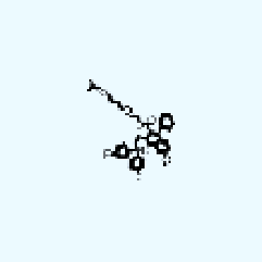 C=C(C)COCCCCOCCOC(=O)c1c2c(c3cc(OC)ccc3c1-c1ccccc1)OC(c1ccc(F)cc1)(c1ccc(F)cc1)C=C2